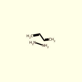 C=CC=C.NN